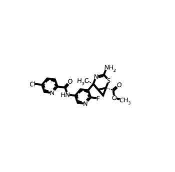 COC(=O)[C@]12CC1[C@@](C)(c1cc(NC(=O)c3ccc(Cl)cn3)cnc1F)N=C(N)S2